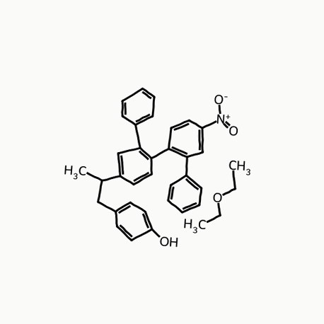 CC(Cc1ccc(O)cc1)c1ccc(-c2ccc([N+](=O)[O-])cc2-c2ccccc2)c(-c2ccccc2)c1.CCOCC